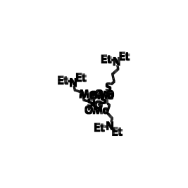 CCN(CC)CCCSO[Si](CCCN(CC)CC)(OC)O[Si](CCCN(CC)CC)(OC)OC